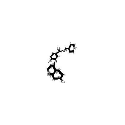 O=C(NCc1ccncc1)c1ccc(F)c(Oc2ccnc3cc(Cl)ccc23)c1